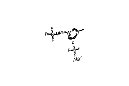 CCCC[n+]1ccn(C)c1.F[B-](F)(F)F.F[B-](F)(F)F.[Na+]